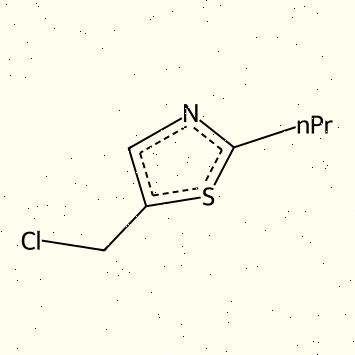 CCCc1ncc(CCl)s1